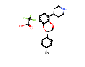 N#Cc1ccc([C@@H]2COc3c(cccc3C3CCNCC3)O2)cc1.O=C(O)C(F)(F)F